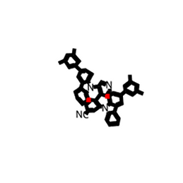 Cc1cc(C)cc(-c2ccc3c(c2)c2ccccc2n3-c2cnccc2-c2ccc(C#N)cc2-n2c3ccccc3c3cc(-c4cc(C)cc(C)c4)ccc32)c1